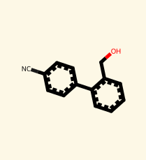 N#Cc1ccc(-c2ccccc2CO)cc1